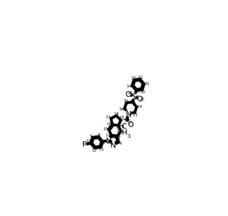 C[C@]12Cc3cnn(-c4ccc(F)cc4)c3C=C1CC[C@@H]2C(=O)N1CCC(S(=O)(=O)c2ccccc2)CC1